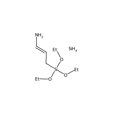 CCO[Si](CC=CN)(OCC)OCC.[SiH4]